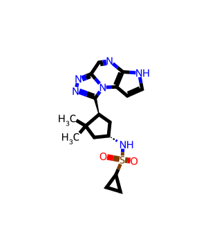 CC1(C)C[C@@H](NS(=O)(=O)C2CC2)C[C@@H]1c1nnc2cnc3[nH]ccc3n12